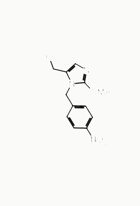 COc1ncc(CO)n1Cc1ccc([N+](=O)[O-])cc1